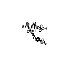 CCN(CC)CCN(CCN(CC)CC)C(=O)NCCCCOc1ccc(C(N)=O)cc1.O=C(O)C(=O)O